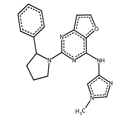 Cn1cnc(Nc2nc(N3CCCC3c3ccccc3)nc3ccoc23)c1